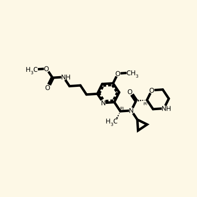 COC(=O)NCCCc1cc(OC)cc([C@@H](C)N(C(=O)[C@H]2CNCCO2)C2CC2)n1